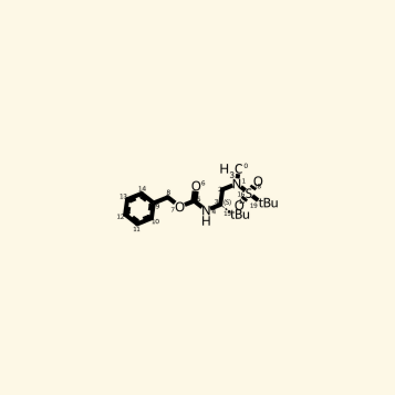 CN(C[C@@H](NC(=O)OCc1ccccc1)C(C)(C)C)S(=O)(=O)C(C)(C)C